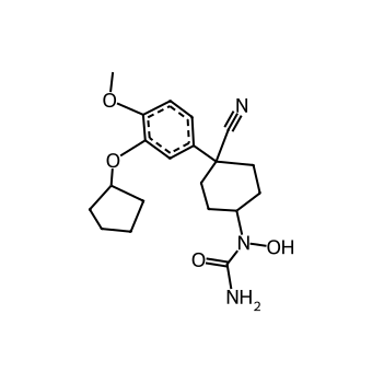 COc1ccc(C2(C#N)CCC(N(O)C(N)=O)CC2)cc1OC1CCCC1